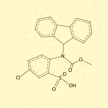 COC(=O)N(c1ccc(Cl)cc1S(=O)(=O)O)C1c2ccccc2-c2ccccc21